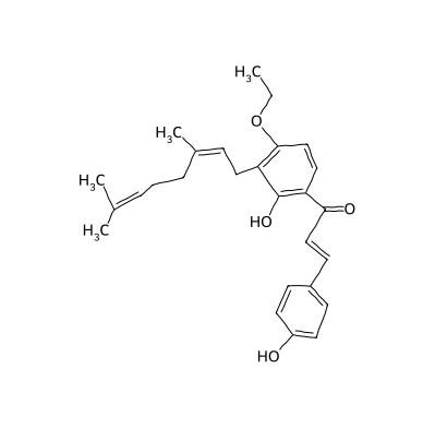 CCOc1ccc(C(=O)C=Cc2ccc(O)cc2)c(O)c1CC=C(C)CCC=C(C)C